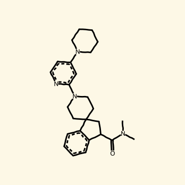 CN(C)C(=O)C1CC2(CCN(c3cc(N4CCCCC4)ccn3)CC2)c2ccccc21